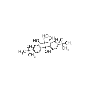 CC(C)(C)c1ccc(C(O)(c2ccc(C(C)(C)C)cc2)C(CO)(CO)CO)cc1